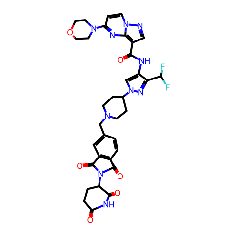 O=C1CCC(N2C(=O)c3ccc(CN4CCC(n5cc(NC(=O)c6cnn7ccc(N8CCOCC8)nc67)c(C(F)F)n5)CC4)cc3C2=O)C(=O)N1